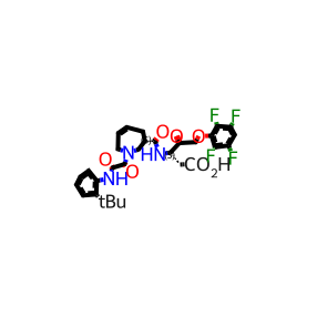 CC(C)(C)c1ccccc1NC(=O)C(=O)N1CC=CC[C@H](C(=O)N[C@@H](CC(=O)O)C(=O)COc2c(F)c(F)cc(F)c2F)C1